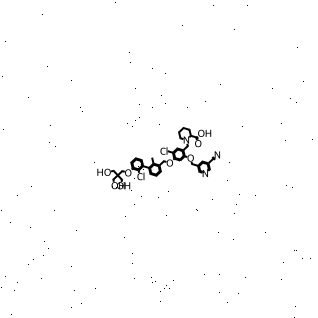 Cc1c(COc2cc(OCc3cncc(C#N)c3)c(CN3CCCCC3C(=O)O)cc2Cl)cccc1-c1cccc(OCC(CO)(CO)CO)c1Cl